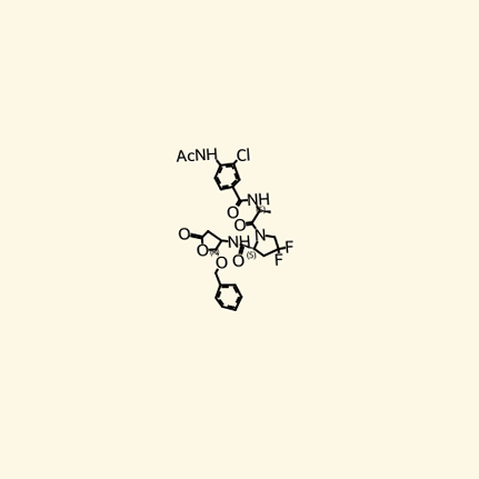 CC(=O)Nc1ccc(C(=O)N[C@@H](C)C(=O)N2CC(F)(F)C[C@H]2C(=O)NC2CC(=O)O[C@H]2OCc2ccccc2)cc1Cl